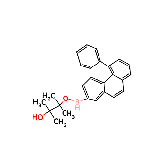 CC(C)(O)C(C)(C)OBc1ccc2c(ccc3cccc(-c4ccccc4)c32)c1